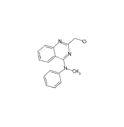 CN(c1ccccc1)c1nc(CCl)nc2ccccc12